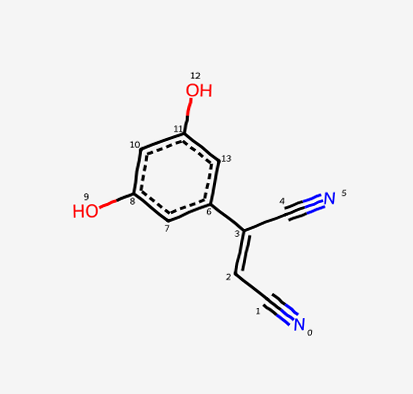 N#CC=C(C#N)c1cc(O)cc(O)c1